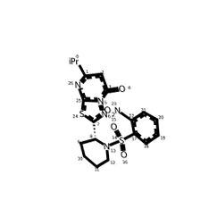 CC(C)c1cc(=O)n2nc([C@H]3CCCCN3S(=O)(=O)c3ccccc3[N+](=O)[O-])sc2n1